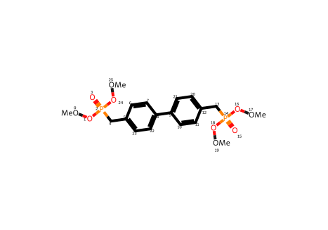 COOP(=O)(Cc1ccc(-c2ccc(CP(=O)(OOC)OOC)cc2)cc1)OOC